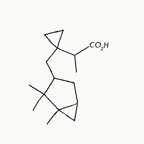 CC(C(=O)O)C1(CC2CC3CC3(C)C2(C)C)CC1